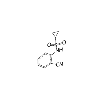 N#Cc1ccccc1NS(=O)(=O)C1CC1